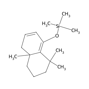 CC1(C)CCCC2(C)CC=CC(O[Si](C)(C)C)=C12